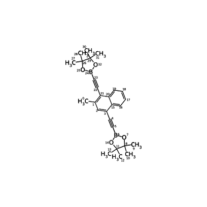 Cc1cc(C#CB2OC(C)(C)C(C)(C)O2)c2ccccc2c1C#CB1OC(C)(C)C(C)(C)O1